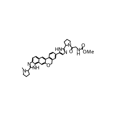 COC(=O)NCC(=O)N1CCCC1c1ncc(-c2ccc3c(c2)COc2cc4c(ccc5nc(C6CCCN6C)[nH]c54)cc2-3)[nH]1